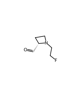 O=C[C@@H]1CCN1CCF